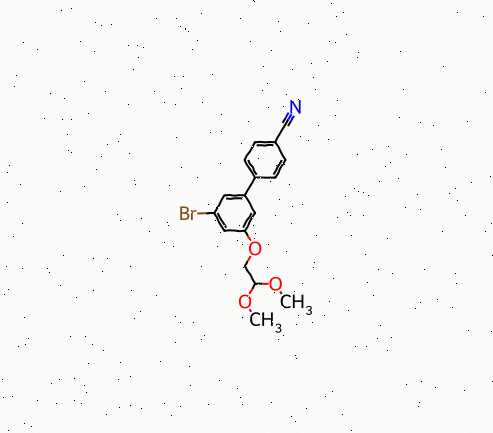 COC(COc1cc(Br)cc(-c2ccc(C#N)cc2)c1)OC